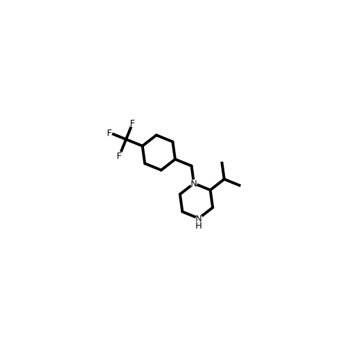 CC(C)C1CNCCN1CC1CCC(C(F)(F)F)CC1